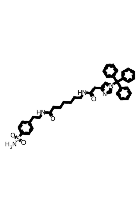 NS(=O)(=O)c1ccc(CCNC(=O)CCCCCCNC(=O)Cc2cn(C(c3ccccc3)(c3ccccc3)c3ccccc3)cn2)cc1